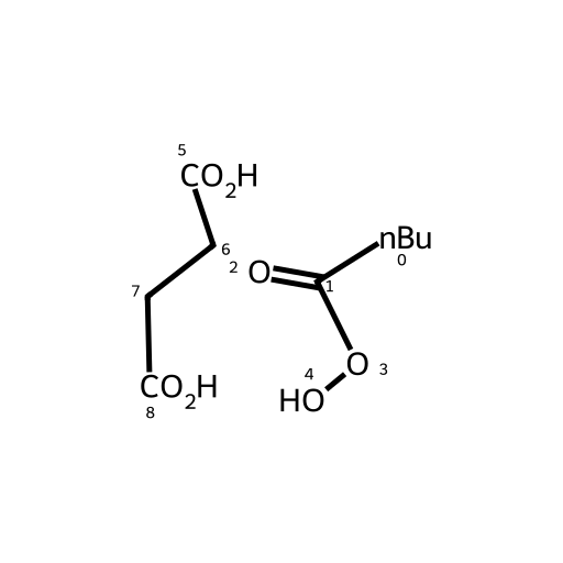 CCCCC(=O)OO.O=C(O)CCC(=O)O